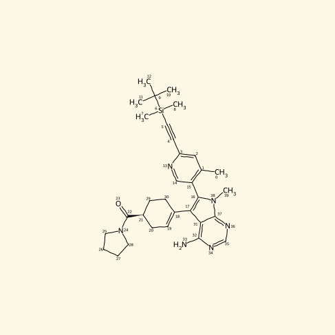 Cc1cc(C#C[Si](C)(C)C(C)(C)C)ncc1-c1c(C2=CC[C@@H](C(=O)N3CCCC3)CC2)c2c(N)ncnc2n1C